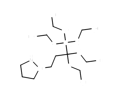 CCOC(CC[SiH]1CCCN1)(OCC)[Si](OCC)(OCC)OCC